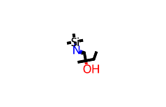 CCC(C)(O)C=N[Si](C)(C)C